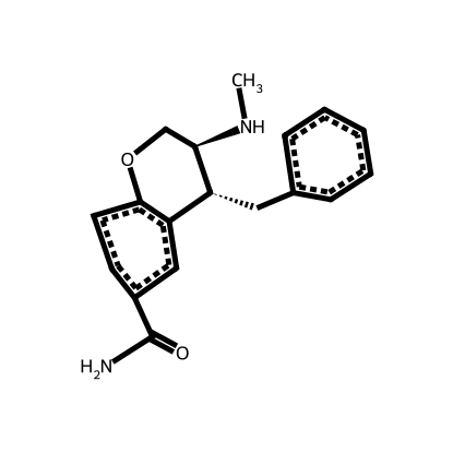 CN[C@@H]1COc2ccc(C(N)=O)cc2[C@H]1Cc1ccccc1